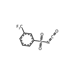 O=C=NS(=O)(=O)c1cccc(C(F)(F)F)c1